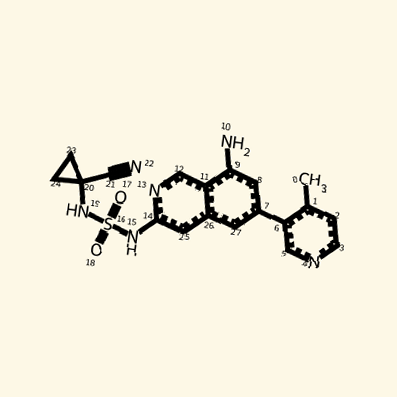 Cc1ccncc1-c1cc(N)c2cnc(NS(=O)(=O)NC3(C#N)CC3)cc2c1